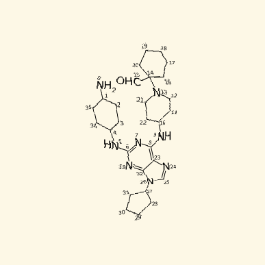 NC1CCC(Nc2nc(NC3CCN(C4(C=O)CCCCC4)CC3)c3ncn(C4CCCC4)c3n2)CC1